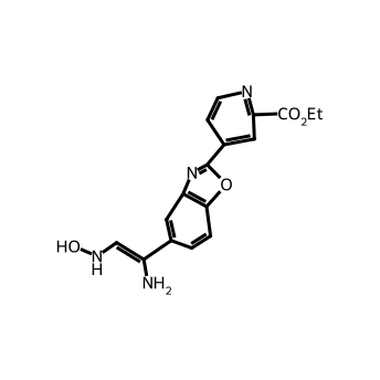 CCOC(=O)c1cc(-c2nc3cc(C(N)=CNO)ccc3o2)ccn1